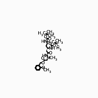 COc1ccccc1COC(=O)CN(C)NC(=O)C[C@H](CCNC(=O)OC(C)(C)C)NC(=O)OC(C)(C)C